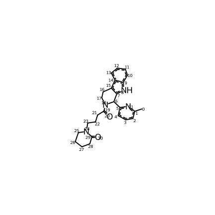 Cc1cccc(C2c3[nH]c4ccccc4c3CCN2C(=O)CCCN2CCCCC2=O)n1